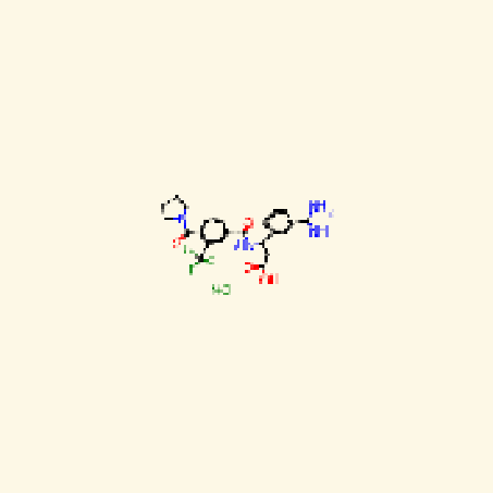 Cl.N=C(N)c1cccc(C(CC(=O)O)NC(=O)c2ccc(C(=O)N3CCCC3)c(C(F)(F)F)c2)c1